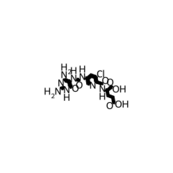 Nc1nc(N)c(NC(=O)Nc2cnc(C(=O)NC(CCC(=O)O)C(=O)O)c(Cl)c2)c(=O)[nH]1